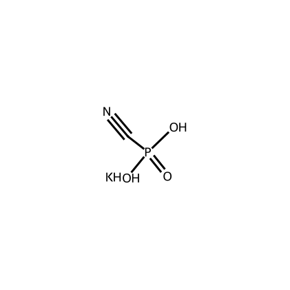 N#CP(=O)(O)O.[KH]